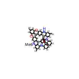 CSN1c2cc3c(cc2B2c4c1cc(C)cc4-n1c4ccccc4c4cccc2c41)B1c2cc4c(cc2Oc2cc(C)cc(c21)O3)Nc1cc(C)cc2c1B4c1cccc3c4ccccc4n-2c13